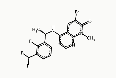 C[C@@H](Nc1ccnc2c1cc(Br)c(=O)n2C)c1cccc(C(F)F)c1F